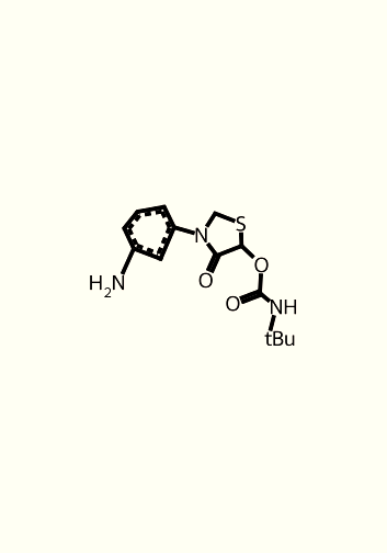 CC(C)(C)NC(=O)OC1SCN(c2cccc(N)c2)C1=O